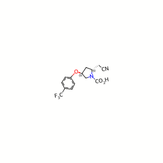 N#CC[C@H]1C[C@H](Oc2ccc(C(F)(F)F)cc2)CN1C(=O)O